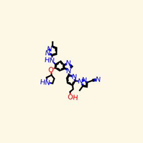 Cc1ccc(Nc2cc3ncn(-c4ccc(CCO)c(-n5nc(C#N)cc5C)n4)c3cc2OC2CCNC2)nn1